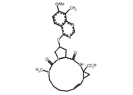 COc1ccc2c(OC3CC4C(=O)NC5(C(=O)O)CC5C=CCCCCN(C)C(=O)N4C3)ncnc2c1C